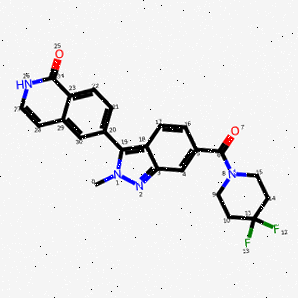 Cn1nc2cc(C(=O)N3CCC(F)(F)CC3)ccc2c1-c1ccc2c(=O)[nH]ccc2c1